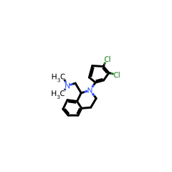 CN(C)CC1c2ccccc2CCN1c1ccc(Cl)c(Cl)c1